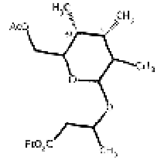 CCOC(=O)CC(C)OC1OC(COC(C)=O)[C@H](C)[C@H](C)C1C